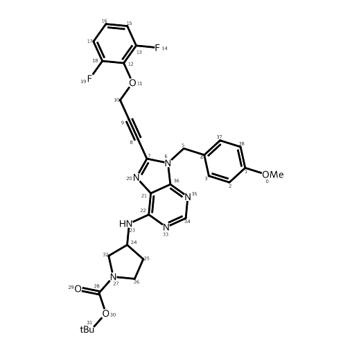 COc1ccc(Cn2c(C#CCOc3c(F)cccc3F)nc3c(NC4CCN(C(=O)OC(C)(C)C)C4)ncnc32)cc1